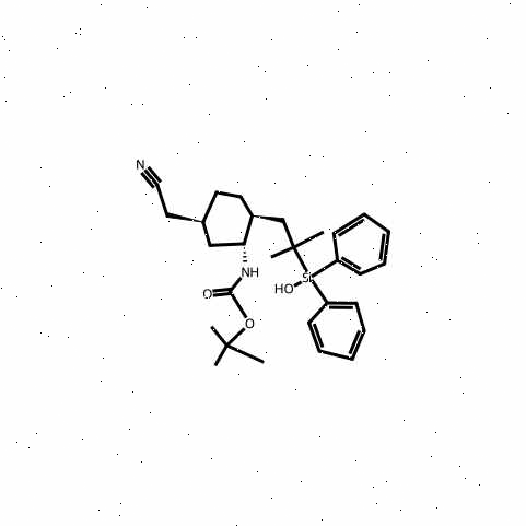 CC(C)(C)OC(=O)N[C@@H]1C[C@@H](CC#N)CC[C@H]1CC(C)(C)[Si](O)(c1ccccc1)c1ccccc1